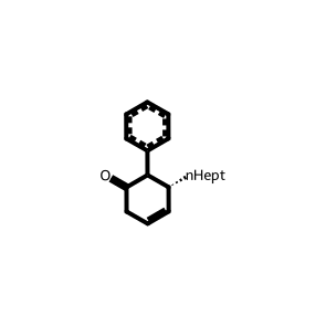 CCCCCCC[C@@H]1C=CCC(=O)C1c1ccccc1